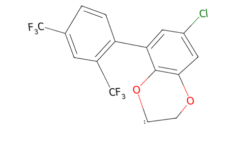 FC(F)(F)c1ccc(-c2cc(Cl)cc3c2O[C]CO3)c(C(F)(F)F)c1